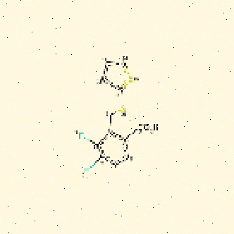 O=C(O)c1ccc(F)c(F)c1CSc1cccs1